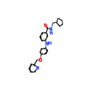 O=C(NCC1CCCC1)c1cccc(Nc2ccc(OCc3ccccn3)cc2)c1